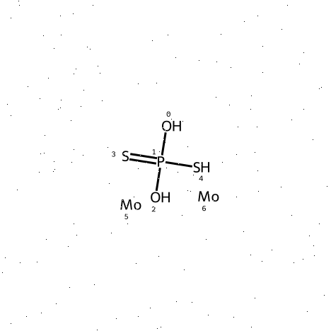 OP(O)(=S)S.[Mo].[Mo]